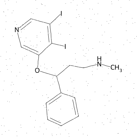 CNCCC(Oc1cncc(I)c1I)c1ccccc1